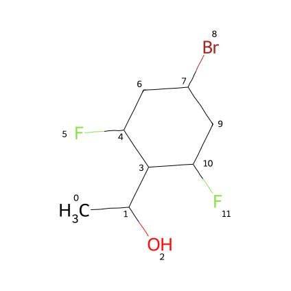 CC(O)C1C(F)CC(Br)CC1F